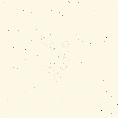 C[C@H]1C[C@H]2C[C@H]3CC(c4ccccc4N(c4ccc(-c5cccc(-n6c7ccccc7c7cc8ccccc8cc76)c5)cc4)c4ccc5c(c4)C(C)(C)c4ccccc4-5)(CC23)C1